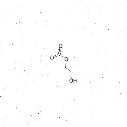 [O]=[V](=[O])[O]CCO